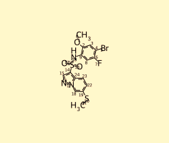 COc1cc(Br)c(F)cc1NS(=O)(=O)c1cnn2cc(SC)ccc12